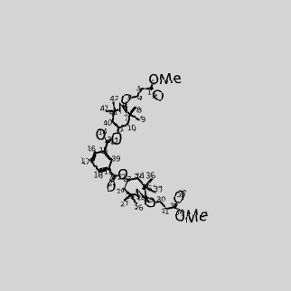 COC(=O)CCON1C(C)(C)CC(OC(=O)c2cccc(C(=O)OC3CC(C)(C)N(OCCC(=O)OC)C(C)(C)C3)c2)CC1(C)C